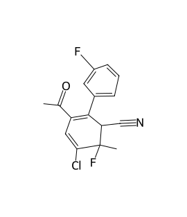 CC(=O)C1=C(c2cccc(F)c2)C(C#N)C(C)(F)C(Cl)=C1